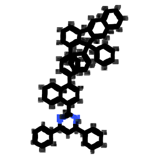 c1ccc(-c2cc(-c3ccccc3)nc(-c3ccc(-c4ccc(-c5cccc6c5C(c5ccccc5)(c5ccccc5)c5cc7ccccc7cc5-6)cc4)c4ccccc34)n2)cc1